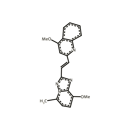 COc1cc(C=Cc2nc3c(OC)ccc(C)n3n2)nc2ccccc12